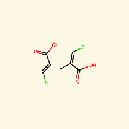 CC(=CCl)C(=O)O.O=C(O)C=CCl